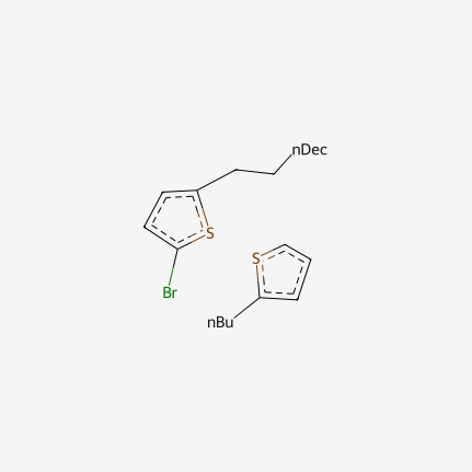 CCCCCCCCCCCCc1ccc(Br)s1.CCCCc1cccs1